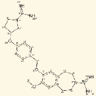 COc1cc2c(cc1OCc1ccc(OC3CCN(C(=N)N)C3)cc1)CCN(C(=N)N)CC2